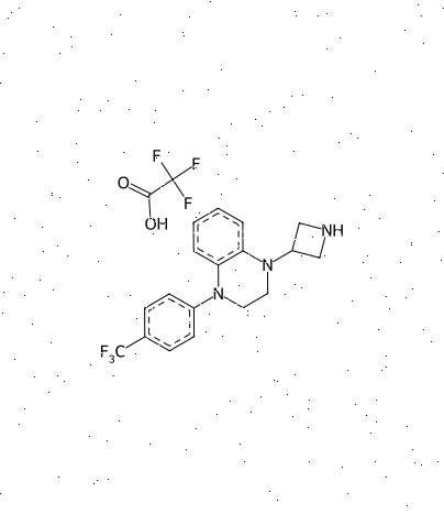 FC(F)(F)c1ccc(N2CCN(C3CNC3)c3ccccc32)cc1.O=C(O)C(F)(F)F